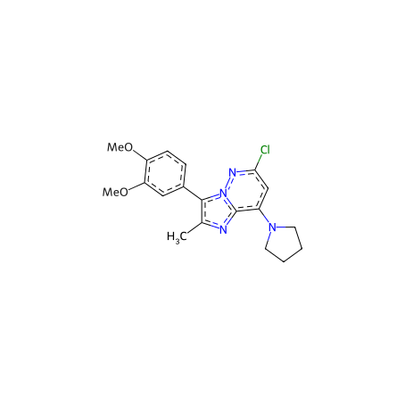 COc1ccc(-c2c(C)nc3c(N4CCCC4)cc(Cl)nn23)cc1OC